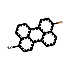 Cc1ccc2c3cccc4c(Br)ccc(c5cccc1c25)c43